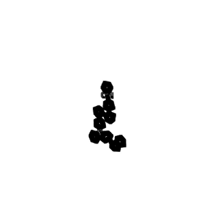 c1ccc(-c2ccccc2-c2ccc(-n3c4ccccc4c4cc(-c5cccc6ccccc56)ccc43)cc2)c(-c2ccc(-c3nc4ccccc4o3)cc2)c1